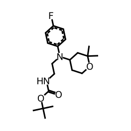 CC(C)(C)OC(=O)NCCN(c1ccc(F)cc1)C1CCOC(C)(C)C1